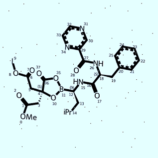 COC(=O)C[C@@]1(CC(=O)OI)OB([C@H](CC(C)C)NC(=O)[C@H](Cc2ccccc2)NC(=O)c2cnccn2)OC1=O